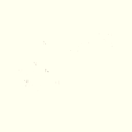 NC(=O)c1c(-c2c(Cl)cccc2Cl)nc2c3cc(-c4ccc(C5CCS(=O)(=O)CC5)cc4)cnc3ccn12